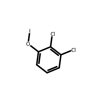 Clc1cccc(OI)c1Cl